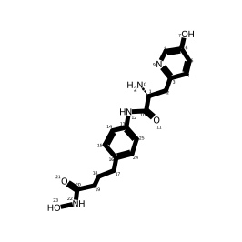 N[C@H](Cc1ccc(O)cn1)C(=O)Nc1ccc(CCCC(=O)NO)cc1